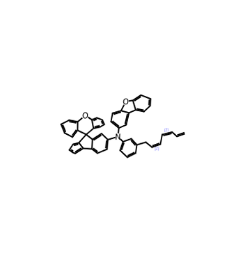 C=C/C=C\C=C/Cc1cccc(N(c2ccc3c(c2)C2(c4ccccc4Oc4ccccc42)c2ccccc2-3)c2ccc3oc4ccccc4c3c2)c1